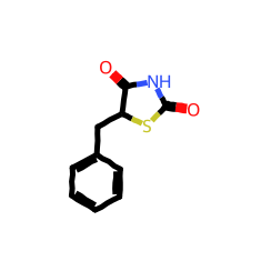 O=C1NC(=O)C(Cc2ccccc2)S1